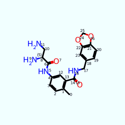 Cc1ccc(NC(=O)[C@@H](N)CN)cc1C(=O)NCc1ccc2c(c1)OCO2